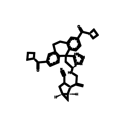 C=C(CN[C@@H](C)CC1(c2nnn[nH]2)c2ccc(C(=O)N3CCC3)cc2CCc2cc(C(=O)N3CCC3)ccc21)N1C(C#N)C[C@@H]2C[C@@H]21